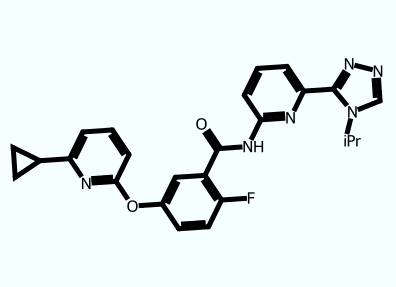 CC(C)n1cnnc1-c1cccc(NC(=O)c2cc(Oc3cccc(C4CC4)n3)ccc2F)n1